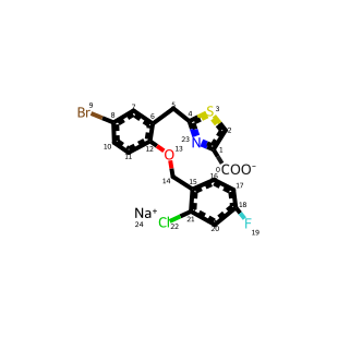 O=C([O-])c1csc(Cc2cc(Br)ccc2OCc2ccc(F)cc2Cl)n1.[Na+]